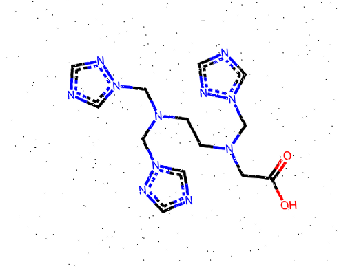 O=C(O)CN(CCN(Cn1cncn1)Cn1cncn1)Cn1cncn1